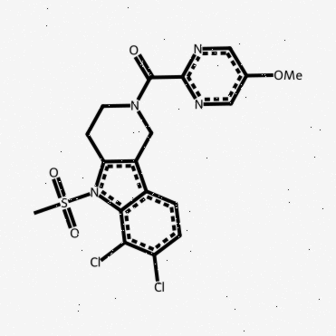 COc1cnc(C(=O)N2CCc3c(c4ccc(Cl)c(Cl)c4n3S(C)(=O)=O)C2)nc1